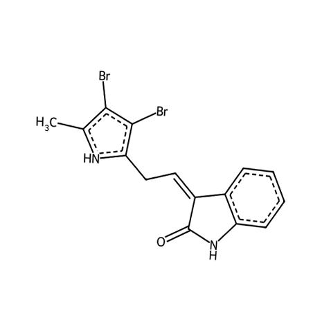 Cc1[nH]c(CC=C2C(=O)Nc3ccccc32)c(Br)c1Br